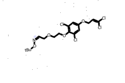 CC(C)(C)O/N=C\COCCOc1c(Cl)cc(OCC=C(Cl)Cl)cc1Cl